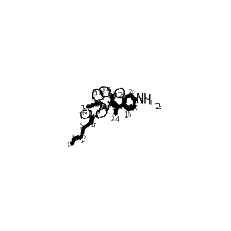 CCCCCC(=O)ON(C(C)=O)c1c(C)c2ccc(N)cc2oc1=O